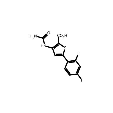 NC(=O)Nc1cc(-c2ccc(F)cc2F)sc1C(=O)O